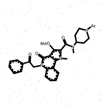 [CH2]C(=O)N1CCC(N(C)C(=O)c2c(OC)c3c(=O)n(CC(=O)c4ccccc4)c4ccccc4c3n2C)CC1